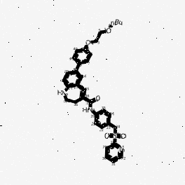 CCCCOCCOc1ccc(-c2ccc3c(c2)C=C(C(=O)Nc2ccc(CS(=O)(=O)c4ccccn4)cc2)CCN3)cc1